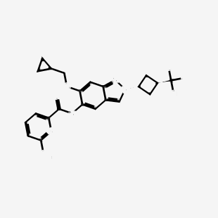 CC(C)(O)[C@H]1C[C@H](n2cc3cc(NC(=O)c4cccc(C(F)(F)F)n4)c(OCC4CC4)cc3n2)C1